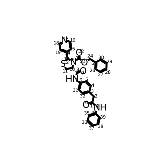 O=C(Cc1ccc(NC(=O)[C@@H]2CSC(c3ccncc3)N2C(=O)OCc2ccccc2)cc1)Nc1ccccc1